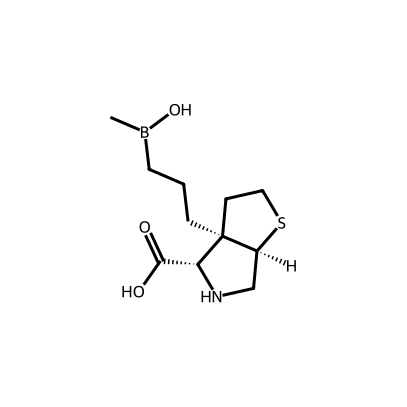 CB(O)CCC[C@]12CCS[C@H]1CN[C@@H]2C(=O)O